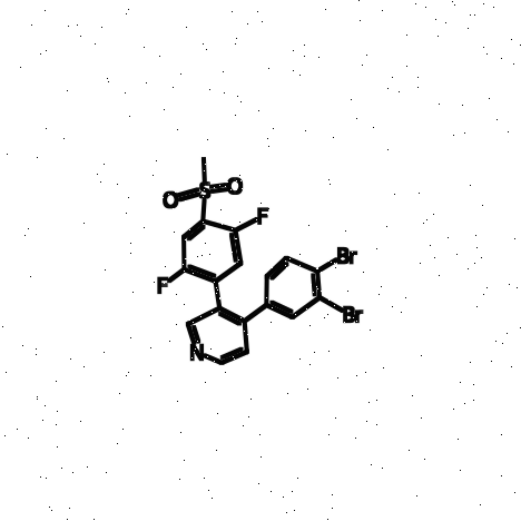 CS(=O)(=O)c1cc(F)c(-c2cnccc2-c2ccc(Br)c(Br)c2)cc1F